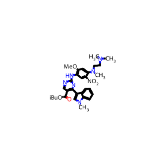 COc1cc(N(C)CCN(C)C)c([N+](=O)[O-])cc1Nc1ncc(C(=O)OCC(C)C)c(-c2cn(C)c3ccccc23)n1